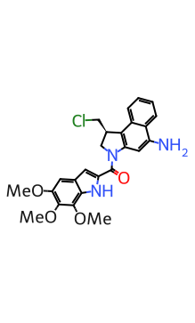 COc1cc2cc(C(=O)N3C[C@@H](CCl)c4c3cc(N)c3ccccc43)[nH]c2c(OC)c1OC